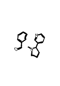 CN1CCCC1c1cccnc1.O=Cc1ccccc1